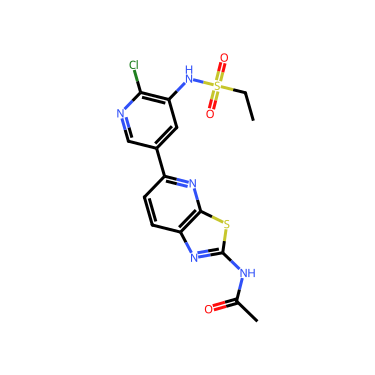 CCS(=O)(=O)Nc1cc(-c2ccc3nc(NC(C)=O)sc3n2)cnc1Cl